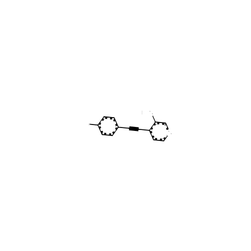 CC(C)(C)c1ccc(C#Cc2ccncc2N)cc1